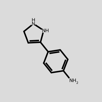 Nc1ccc(C2=CCNN2)cc1